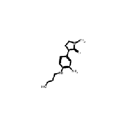 CN1CCC(c2ccc(NCCCO)c(N)c2)C1=O